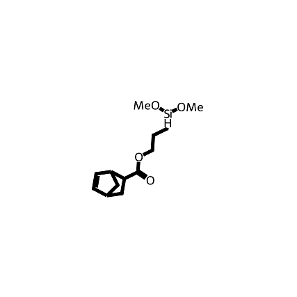 CO[SiH](CCCOC(=O)C1CC2C=CC1C2)OC